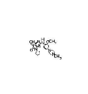 CCn1c(=O)n(C2CCCC2)c2nc(Nc3ccc(N4CCN(C)CC4)cc3OC)ncc21